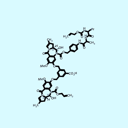 C=CCOC(=O)NC(C(=O)NC(C)C(=O)Nc1ccc(COC(=O)N2c3cc(OCc4cc(COc5cc6c(cc5OC)C(=O)N5C=C(C)C[C@H]5[C@H](O)N6C(=O)OCC=C)cc(C(=O)O)c4)c(OC)cc3C(=O)N3C=C(C)C[C@H]3[C@@H]2O)cc1)C(C)C